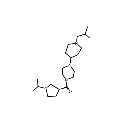 CC(C)CN1CCC(N2CCN(C(=O)[C@H]3CCN(C(C)C)C3)CC2)CC1